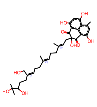 C/C(=C\CC/C(C)=C/CC1(O)C(=O)c2c(O)cc(C)c3c(O)cc(O)c(c23)C1=O)CC/C=C(\CO)CCC(O)C(C)(C)O